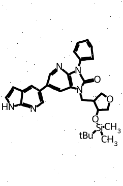 CC(C)(C)[Si](C)(C)OC1COCC1Cn1c(=O)n(-c2ccccc2)c2ncc(-c3cnc4[nH]ccc4c3)cc21